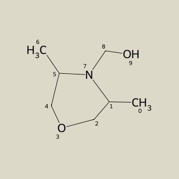 CC1COCC(C)N1CO